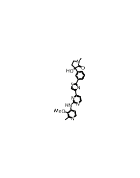 COc1c(Nc2nccc(-c3csc(-c4cccc([C@]5(O)CCN(C)C5=O)c4)n3)n2)ccnc1C